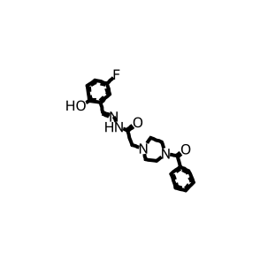 O=C(CN1CCN(C(=O)c2ccccc2)CC1)NN=Cc1cc(F)ccc1O